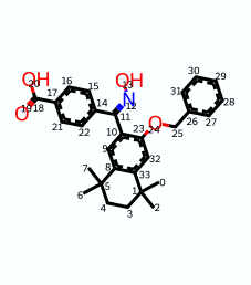 CC1(C)CCC(C)(C)c2cc(/C(=N/O)c3ccc(C(=O)O)cc3)c(OCc3ccccc3)cc21